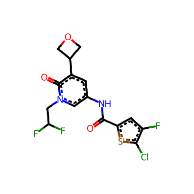 O=C(Nc1cc(C2COC2)c(=O)n(CC(F)F)c1)c1cc(F)c(Cl)s1